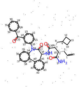 C=CC[C@H](C(N)=O)[C@@H](CC1CCC1)C(=O)NC1C(=O)N(c2cccc(C(=O)c3ccccc3)c2)c2ccccc2-c2ccccc21